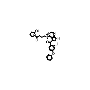 O=C(c1ccc(Oc2ccccc2)cc1Cl)c1c[nH]c2ncnc(NCCCC(=O)N3CCCC3O)c12